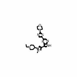 CCN1CCC(n2cc(-c3c[nH]c4ncc(-c5cnc(N6CCOCC6)s5)nc34)c[n+]2C)CC1